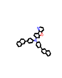 c1ccc2cc(-c3ccc(N(c4ccc(-c5ccc6ccccc6c5)cc4)c4ccc5c(c4)oc4cccnc45)cc3)ccc2c1